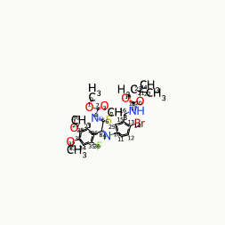 COC(=O)/N=C(\SC)C(=Nc1ccc(Br)c(CNC(=O)OC(C)(C)C)c1)c1cc(OC)c(OC)cc1F